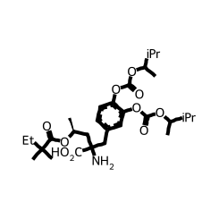 CCC(C)(C)C(=O)O[C@@H](C)CC(N)(Cc1ccc(OC(=O)OC(C)C(C)C)c(OC(=O)OC(C)C(C)C)c1)C(=O)O